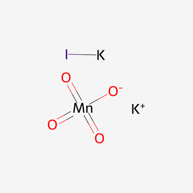 [K+].[K][I].[O]=[Mn](=[O])(=[O])[O-]